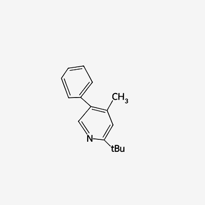 Cc1cc(C(C)(C)C)ncc1-c1ccccc1